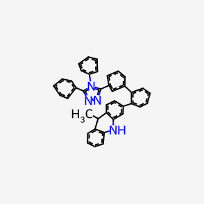 CC1c2ccccc2Nc2cc(-c3ccccc3-c3cccc(-c4nnc(-c5ccccc5)n4-c4ccccc4)c3)ccc21